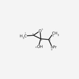 CCCC(C)C1(O)OC1C